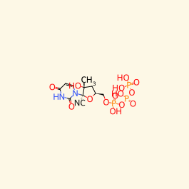 C[C@@]1(O)C[C@@H](COP(=O)(O)OP(=O)(O)OP(=O)(O)O)O[C@@]1(C#N)n1ccc(=O)[nH]c1=O